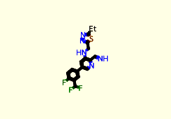 CCc1nnc(CNc2cc(-c3ccc(F)c(C(F)F)c3)cnc2C=N)s1